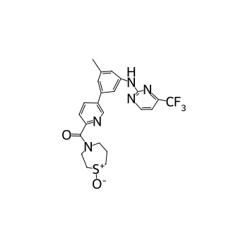 Cc1cc(Nc2nccc(C(F)(F)F)n2)cc(-c2ccc(C(=O)N3CCC[S+]([O-])CC3)nc2)c1